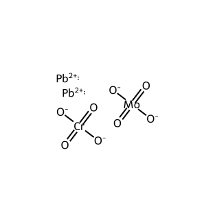 [O]=[Cr](=[O])([O-])[O-].[O]=[Mo](=[O])([O-])[O-].[Pb+2].[Pb+2]